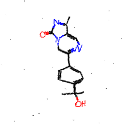 CC1=NC(=O)N2CC(c3ccc(C(C)(C)O)cc3)=NC=C12